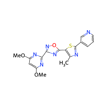 COc1cc(OC)nc(-c2noc(-c3sc(-c4cccnc4)nc3C)n2)n1